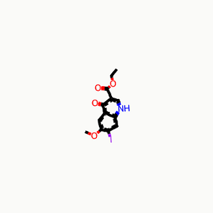 CCOC(=O)c1c[nH]c2cc(I)c(OC)cc2c1=O